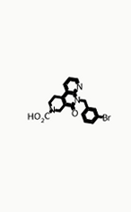 O=C(O)N1CCc2c(c(=O)n(Cc3cccc(Br)c3)c3ncccc23)C1